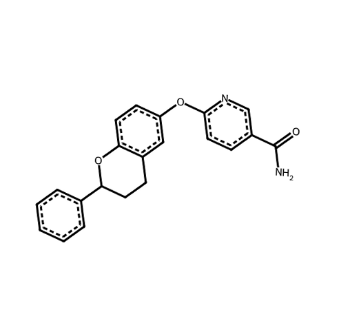 NC(=O)c1ccc(Oc2ccc3c(c2)CCC(c2ccccc2)O3)nc1